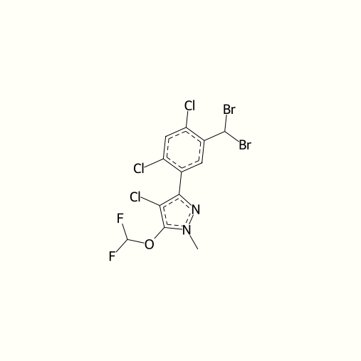 Cn1nc(-c2cc(C(Br)Br)c(Cl)cc2Cl)c(Cl)c1OC(F)F